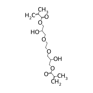 C=C(C)C(=O)OCC(O)COCCOCC(O)COC(=O)C(=C)C